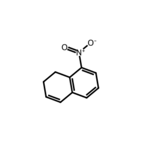 O=[N+]([O-])c1cccc2c1CCC=C2